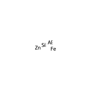 [Al].[Fe].[Si].[Zn]